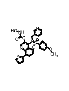 COc1ccc(S(=O)(=O)N(Cc2cccnc2)c2c(OC(=O)NO)cnc3c(-c4cccs4)cccc23)cc1